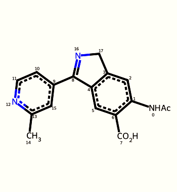 CC(=O)Nc1cc2c(cc1C(=O)O)C(c1ccnc(C)c1)=NC2